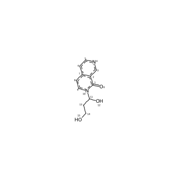 O=c1c2cnccc2ccn1C(O)CCO